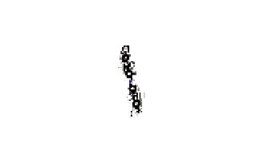 O=C(Nc1ccc(/C=C/c2ccc(NC(=O)c3ccc(CCl)cc3)cc2)cc1)c1ccc(CCl)cc1